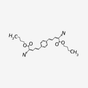 CCCCOC(=O)C(C#N)=CC=Cc1ccc(C=CC=C(C#N)C(=O)OCCCC)cc1